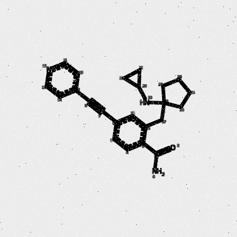 NC(=O)c1ccc(C#Cc2ccncc2)cc1CC1(NC2CC2)CCCC1